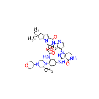 C=CC(=O)Nc1cc(Nc2nn(-c3ccnc(N4CCn5c(cc6c5CC(C)(C)C6)C4=O)c3CO)c3c2C(=O)NCC3)ccc1N1CCN(C2CCOCC2)C[C@@H]1C